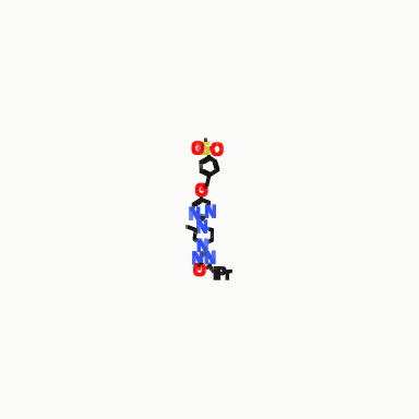 CC(C)c1nc(N2CCN(c3ncc(OCc4ccc(S(C)(=O)=O)cc4)cn3)C(C)C2)no1